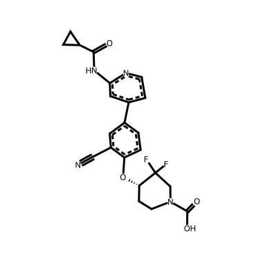 N#Cc1cc(-c2ccnc(NC(=O)C3CC3)c2)ccc1O[C@H]1CCN(C(=O)O)CC1(F)F